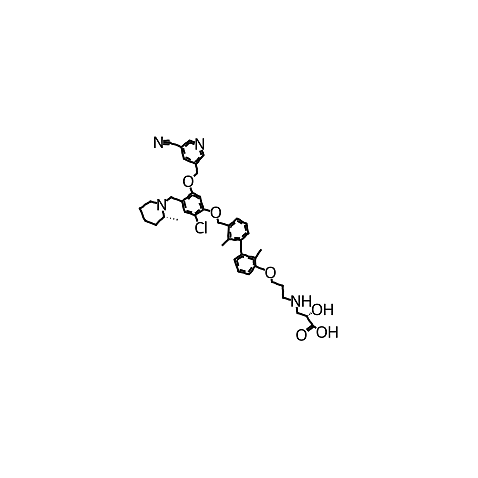 Cc1c(COc2cc(OCc3cncc(C#N)c3)c(CN3CCCC[C@H]3C)cc2Cl)cccc1-c1cccc(OCCCNC[C@H](O)C(=O)O)c1C